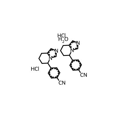 Cl.Cl.N#Cc1ccc(C2CCCc3cncn32)cc1.N#Cc1ccc(C2CCCc3cncn32)cc1.O